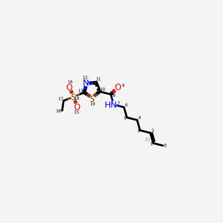 C/C=C/CCCCNC(=O)c1cnc(S(=O)(=O)CC)s1